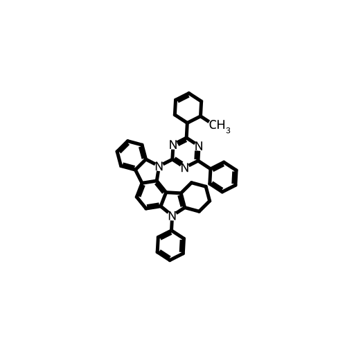 CC1CC=CCC1c1nc(-c2ccccc2)nc(-n2c3ccccc3c3ccc4c(c5c(n4-c4ccccc4)CCCC5)c32)n1